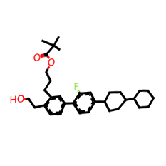 CC(C)(C)C(=O)OCCCc1cc(-c2ccc(C3CCC(C4CCCCC4)CC3)cc2F)ccc1CCO